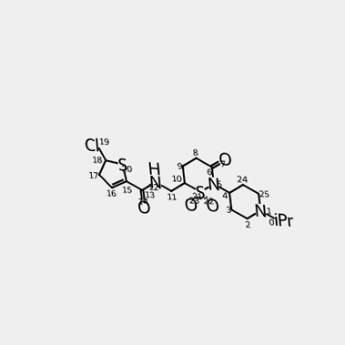 CC(C)N1CCC(N2C(=O)CCC(CNC(=O)C3=CCC(Cl)S3)S2(=O)=O)CC1